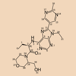 CC[C@@H](Nc1ncnc2c1nc(-c1cnc(C)nc1)n2CC)C(=O)N1CCOCC1CO